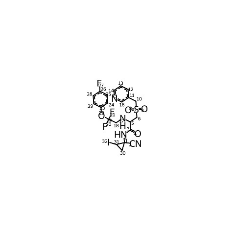 N#CC1(NC(=O)C(CS(=O)(=O)Cc2cccnc2)NCC(F)(F)Oc2ccc(F)cc2)CC1I